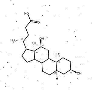 C[C@H](CCC(=O)O)C1CCC2C3CC[C@@H]4C[C@H](O)CC[C@]4(C)C3C[C@H](O)[C@@]21C